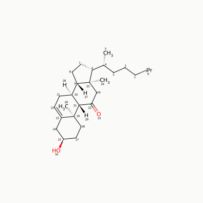 CC(C)CCC[C@@H](C)[C@H]1CC[C@H]2[C@@H]3CC=C4C[C@H](O)CC[C@]4(C)[C@H]3C(=O)C[C@]12C